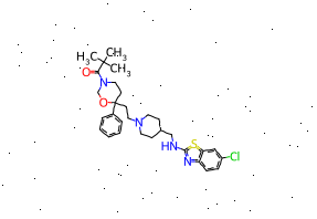 CC(C)(C)C(=O)N1CCC(CCN2CCC(CNc3nc4ccc(Cl)cc4s3)CC2)(c2ccccc2)OC1